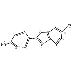 Oc1ccc(-c2nc3ccc(Br)cc3o2)cc1